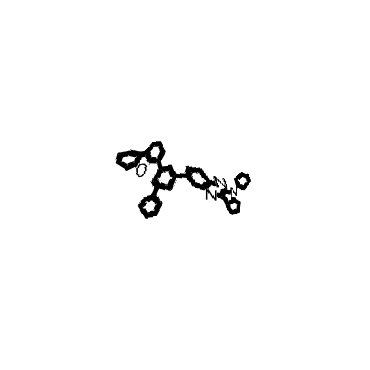 c1ccc(-c2cc(-c3ccc4nc5c(nc4c3)c3ccccc3n5-c3ccccc3)cc(-c3cccc4c3oc3ccccc34)c2)cc1